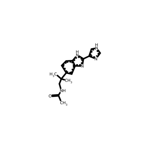 CC(=O)NCC(C)(C)c1ccc2[nH]c(-c3c[nH]cn3)nc2c1